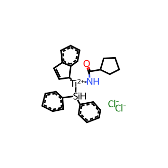 O=C([NH][Ti+2]([CH]1C=Cc2ccccc21)[SiH](c1ccccc1)c1ccccc1)C1CCCC1.[Cl-].[Cl-]